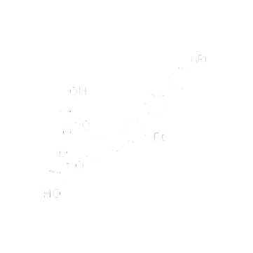 C=C(CO)C(=O)OCCC(CCOC(=O)C(=C)CO)Cc1ccc(-c2ccc(-c3ccc(CCC)cc3)c(C)c2)c(CC)c1